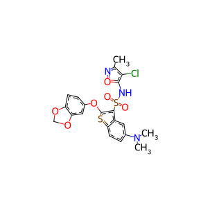 Cc1noc(NS(=O)(=O)c2c(Oc3ccc4c(c3)OCO4)sc3ccc(N(C)C)cc23)c1Cl